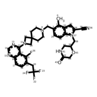 Cc1c(CN2CCC3(CC2)CN(c2ncnc4ccc(CC(F)(F)F)c(F)c24)C3)ccc2c1cc(C#N)n2CC1CNC(=O)CO1